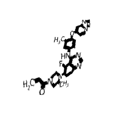 C=CC(=O)N1CCN(c2ccc3ncnc(Nc4ccc(Oc5ccn6ncnc6c5)c(C)c4)c3c2F)C(C)C1